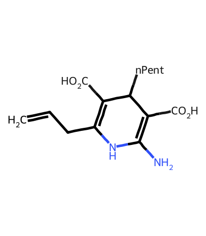 C=CCC1=C(C(=O)O)C(CCCCC)C(C(=O)O)=C(N)N1